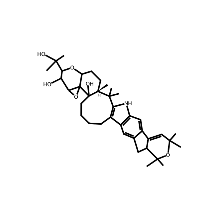 CC1(C)C=C2c3cc4[nH]c5c(c4cc3CC2C(C)(C)O1)CCCCC1(O)C23OC2C(O)C(C(C)(C)O)OC3CC[C@]1(C)C5(C)C